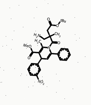 COC(=O)C1=C(C)N(C(=O)C(C)(CN)CC(=O)OC(C)(C)C)C(c2ccccc2)=CC1c1cccc([N+](=O)[O-])c1